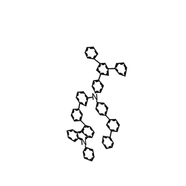 c1ccc(-c2cccc(-c3ccc(N(c4ccc(-c5cc(-c6ccccc6)cc(-c6ccccc6)c5)cc4)c4cccc(-c5cccc(-c6cccc7c6c6ccccc6n7-c6ccccc6)c5)c4)cc3)c2)cc1